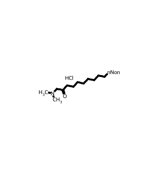 CCCCCCCCCCCCCCCCCC(=O)CN(C)C.Cl